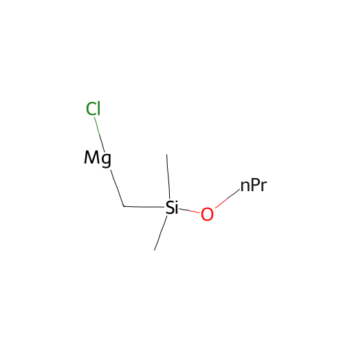 CCCO[Si](C)(C)[CH2][Mg][Cl]